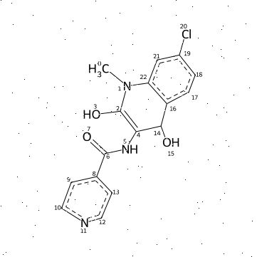 CN1C(O)=C(NC(=O)c2ccncc2)C(O)c2ccc(Cl)cc21